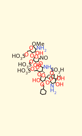 CO[C@H]1OC(COS(=O)(=O)O)[C@@H](O[C@@H]2O[C@@H](N=O)[C@@H](O[C@H]3OC(COS(=O)(=O)O)[C@@H](O[C@@H]4OC(C(=O)O)[C@@H](O[C@H]5OC(COS(=O)(=O)O)[C@@H](O)[C@H](O)C5N)[C@H](OCC5CCCCC5)C4O)[C@H](C)C3N)C(O)C2OS(=O)(=O)O)[C@H](O)C1N